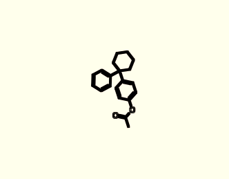 CC(=O)Oc1ccc(C2(c3ccccc3)CCCCC2)cc1